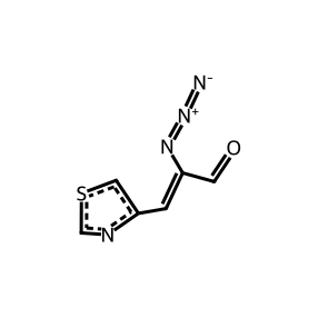 [N-]=[N+]=N/C(C=O)=C\c1cscn1